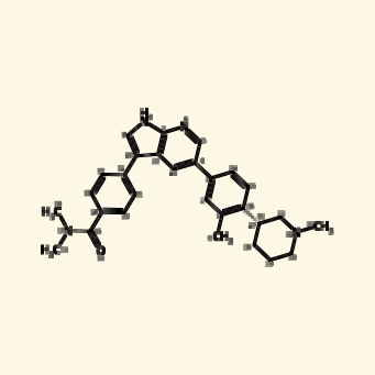 Cc1cc(-c2cnc3[nH]cc(-c4ccc(C(=O)N(C)C)cc4)c3c2)ccc1[C@H]1CCCN(C)C1